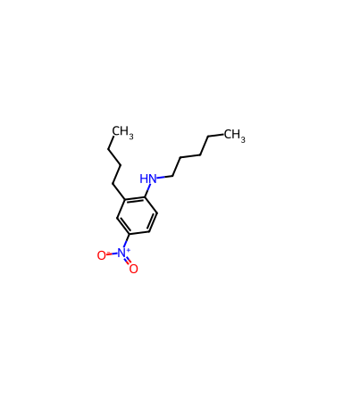 CCCCCNc1ccc([N+](=O)[O-])cc1CCCC